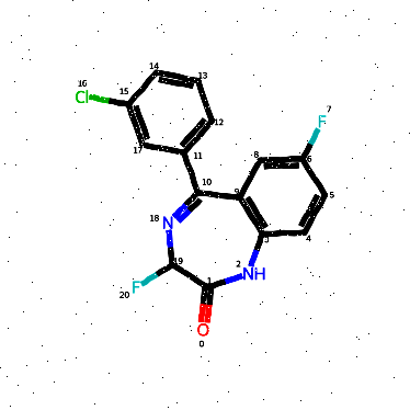 O=C1Nc2ccc(F)cc2C(c2cccc(Cl)c2)=NC1F